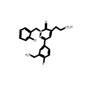 NCc1cc(-c2cc(CCC(=O)O)c(=O)n(Cc3ccccc3Cl)n2)ccc1F